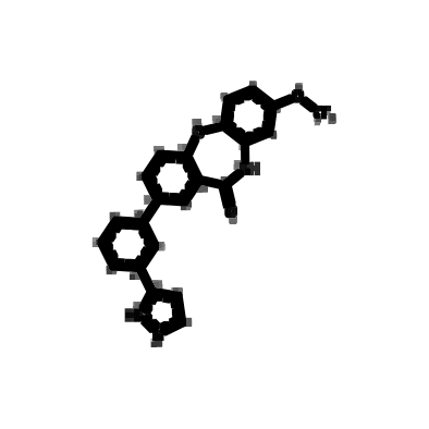 O=C1Nc2cc(OC(F)(F)F)ccc2Oc2ccc(-c3cccc(-c4ccn[nH]4)c3)cc21